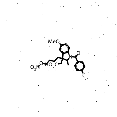 COc1ccc2c(c1)C(CCCCO[N+](=O)[O-])(CC(=O)O)C(C)N2C(=O)c1ccc(Cl)cc1